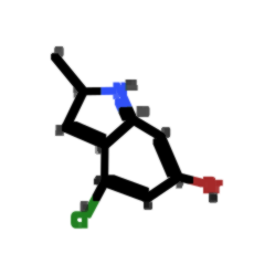 CC1C=c2c(Cl)cc(Br)cc2=N1